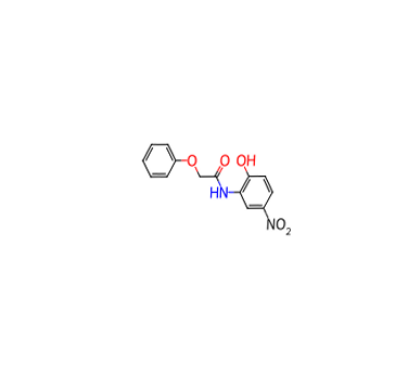 O=C(COc1ccccc1)Nc1cc([N+](=O)[O-])ccc1O